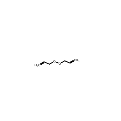 C=CCOOCC=C